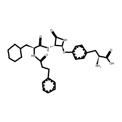 N[C@@H](Cc1ccc(O[C@@H]2NC(=O)[C@H]2NC(=O)[C@H](CC2CCCCC2)NC(=O)CCc2ccccc2)cc1)C(=O)O